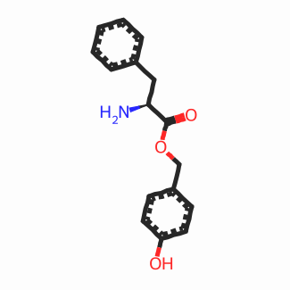 N[C@@H](Cc1ccccc1)C(=O)OCc1ccc(O)cc1